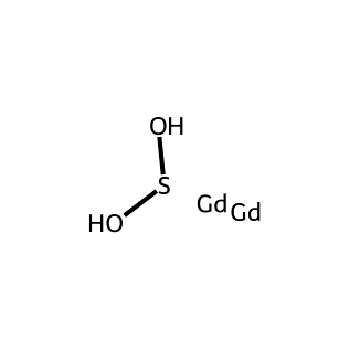 OSO.[Gd].[Gd]